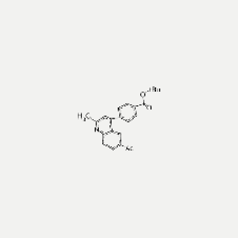 CC(=O)c1ccc2nc(C)cc(-c3ccc(C(=O)OC(C)(C)C)cc3)c2c1